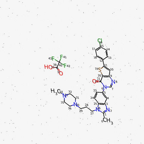 Cc1nc2cc(-n3cnc4cc(-c5ccc(Cl)cc5)sc4c3=O)ccc2n1CCCN1CCN(C)CC1.O=C(O)C(F)(F)F